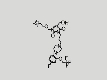 C[Si](C)(C)CCOCn1cc(CO)c(=O)n(CCCN2CCN(c3ccc(F)cc3OCC(F)(F)F)CC2)c1=O